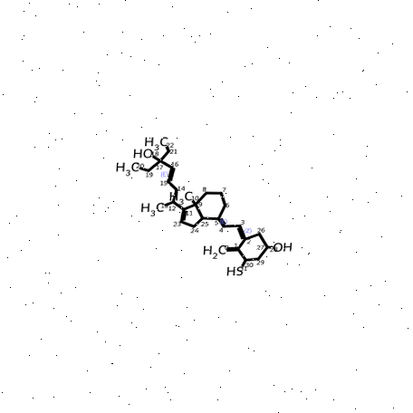 C=C1/C(=C\C=C2/CCCC3(C)C(C(C)C/C=C/C(O)(CC)CC)=CCC23)CC(O)CC1S